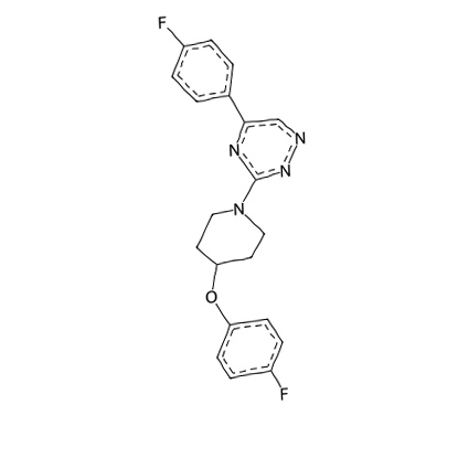 Fc1ccc(OC2CCN(c3nncc(-c4ccc(F)cc4)n3)CC2)cc1